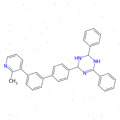 Cc1ncccc1-c1cccc(-c2ccc(C3N=C(c4ccccc4)NC(c4ccccc4)N3)cc2)c1